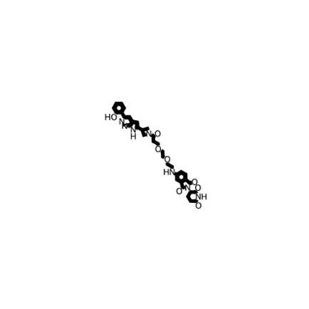 O=C1CCC(N2C(=O)c3ccc(NCCOCCOCCC(=O)N4CC(c5cc6cc(-c7ccccc7O)nnc6[nH]5)C4)cc3C2=O)C(=O)N1